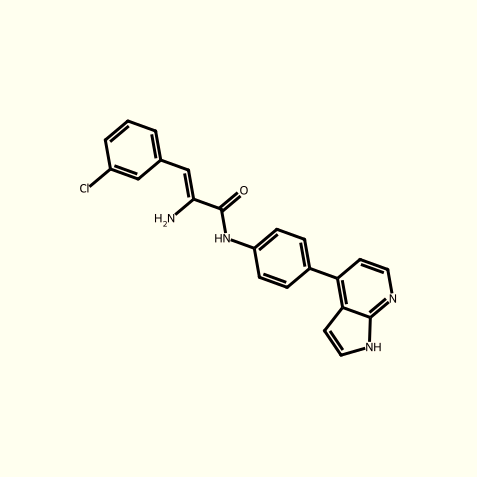 NC(=Cc1cccc(Cl)c1)C(=O)Nc1ccc(-c2ccnc3[nH]ccc23)cc1